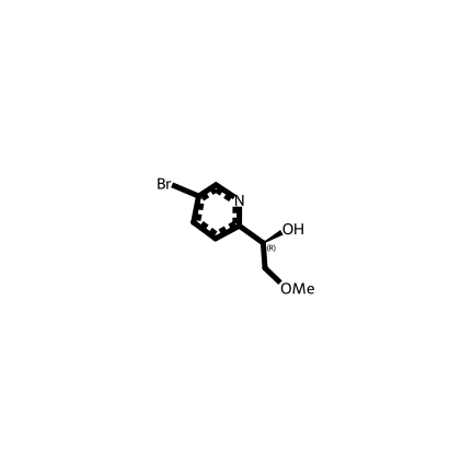 COC[C@H](O)c1ccc(Br)cn1